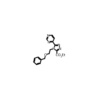 CCOC(=O)c1nnc(-c2ccncn2)n1CCOCc1ccccc1